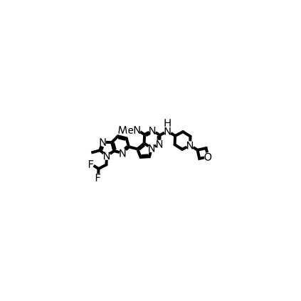 CNc1nc(NC2CCN(C3COC3)CC2)nn2ccc(-c3ccc4nc(C)n(CC(F)F)c4n3)c12